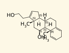 C[C@]12C=CCC=C1CC[C@@H]1[C@@H]2[C@@H](O)C[C@]2(C)C(CCO)=CC[C@@H]12